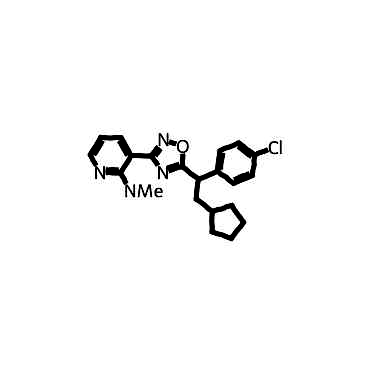 CNc1ncccc1-c1noc(C(CC2CCCC2)c2ccc(Cl)cc2)n1